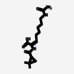 CC1(C)CC1C(=O)N/C(=C/CCCCCNC(N)=O)C(=O)O